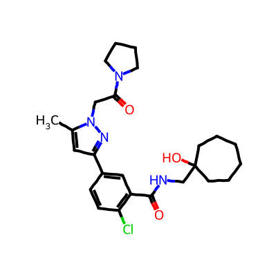 Cc1cc(-c2ccc(Cl)c(C(=O)NCC3(O)CCCCCC3)c2)nn1CC(=O)N1CCCC1